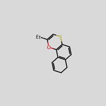 CCC1=CSc2ccc3c(c2O1)C=CCC3